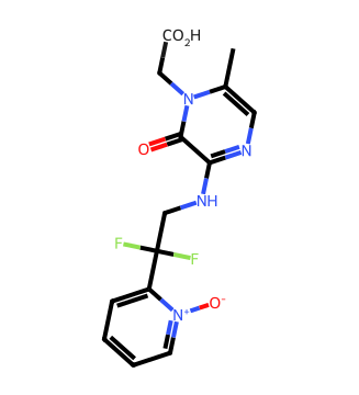 Cc1cnc(NCC(F)(F)c2cccc[n+]2[O-])c(=O)n1CC(=O)O